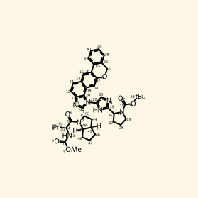 COC(=O)N[C@H](C(=O)N1[C@H](c2nc3ccc4cc5c(cc4c3n2-c2cnc(C3CCCN3C(=O)OC(C)(C)C)[nH]2)OCc2ccccc2-5)C[C@@H]2CCC[C@@H]21)C(C)C